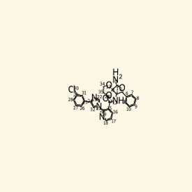 NC(=O)C1(C(Cc2ccccc2)NC(=O)c2cccnc2-n2cnc(-c3cccc(Cl)c3)c2)OCCO1